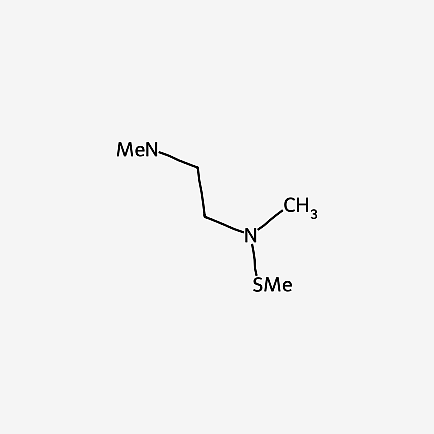 CNCCN(C)SC